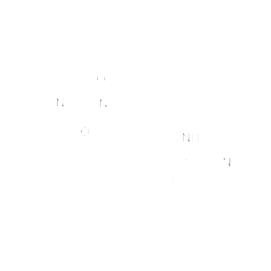 O=C(Nc1ccc(N2OCC3CCCCN3C2=O)cc1)c1ccccn1